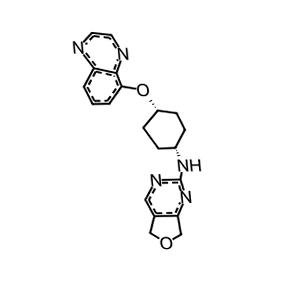 c1cc(O[C@H]2CC[C@@H](Nc3ncc4c(n3)COC4)CC2)c2nccnc2c1